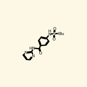 CC(C)(C)S(=O)(=O)Nc1ccc(C(=O)Nc2ncccn2)cc1